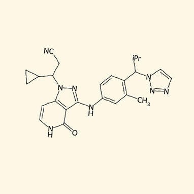 Cc1cc(Nc2nn(C(CC#N)C3CC3)c3cc[nH]c(=O)c23)ccc1C(C(C)C)n1ccnn1